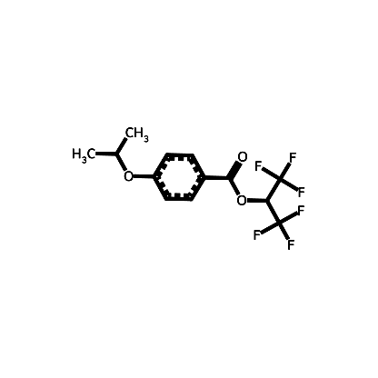 CC(C)Oc1ccc(C(=O)OC(C(F)(F)F)C(F)(F)F)cc1